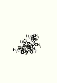 CNC(=O)[C@@H]1C[C@@H](Oc2nc3c(n2C(C)C)C=CCC3c2nc(CC3CCCCC3)cs2)CN1C(=O)[C@H](CCCCC/C=C\C(C)CCC(=O)NS(=O)(=O)N(C)C)NC(=O)OC(C)(C)C